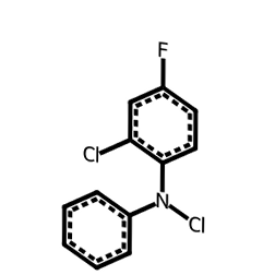 Fc1ccc(N(Cl)c2ccccc2)c(Cl)c1